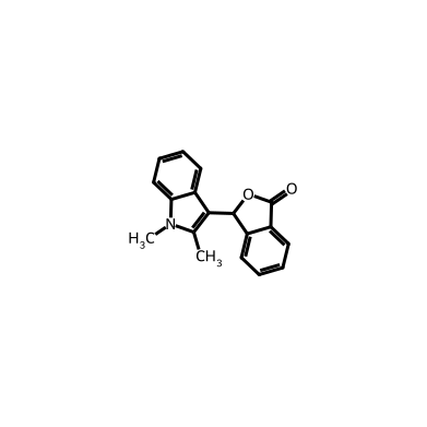 Cc1c(C2OC(=O)c3ccccc32)c2ccccc2n1C